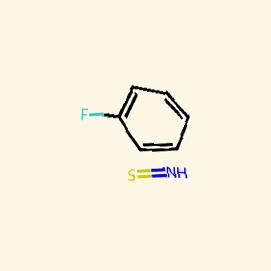 Fc1ccccc1.N=S